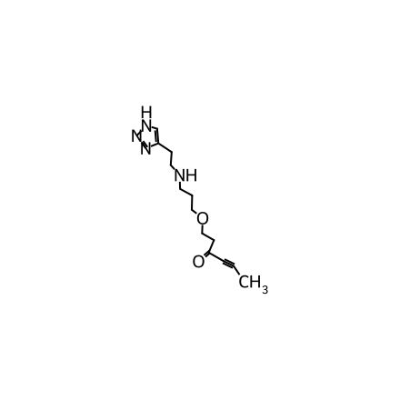 CC#CC(=O)CCOCCCNCCc1c[nH]nn1